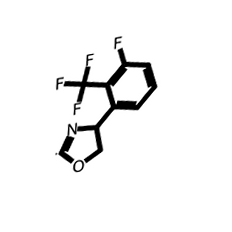 Fc1cccc(C2CO[C]=N2)c1C(F)(F)F